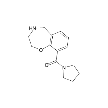 O=C(c1cccc2c1OCCNC2)N1CCCC1